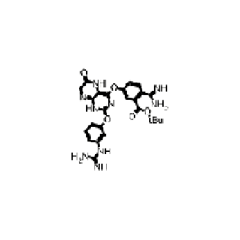 CC(C)(C)OC(=O)c1cc(OC2=C3NC(=O)CN=C3NC(Oc3cccc(NC(=N)N)c3)=N2)ccc1C(=N)N